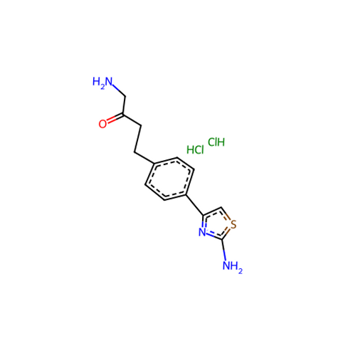 Cl.Cl.NCC(=O)CCc1ccc(-c2csc(N)n2)cc1